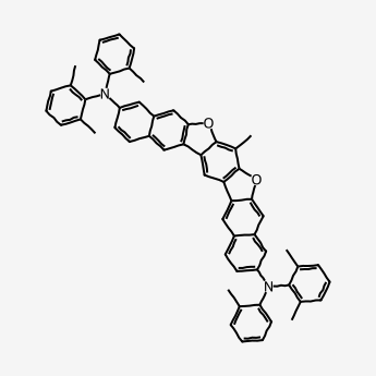 Cc1ccccc1N(c1ccc2cc3c(cc2c1)oc1c(C)c2oc4cc5cc(N(c6ccccc6C)c6c(C)cccc6C)ccc5cc4c2cc13)c1c(C)cccc1C